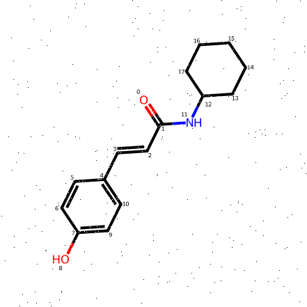 O=C(/C=C/c1ccc(O)cc1)NC1CCCCC1